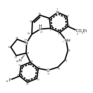 CCOC(=O)c1cnc2c3c1NCCCOc1ccc(F)cc1[C@H]1CCCN1C(C=C2)N3